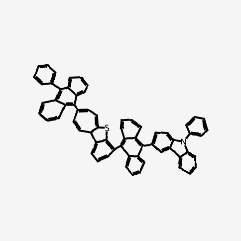 C1=CC2C(=CC=C1c1c3ccccc3c(-c3ccccc3)c3ccccc13)Sc1c(-c3c4ccccc4c(-c4ccc5c(c4)c4ccccc4n5-c4ccccc4)c4ccccc34)cccc12